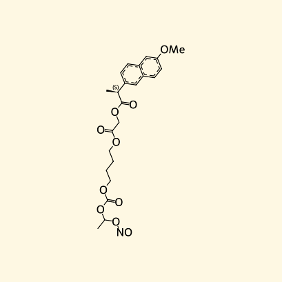 COc1ccc2cc([C@H](C)C(=O)OCC(=O)OCCCCOC(=O)OC(C)ON=O)ccc2c1